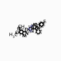 COc1cc2ncnc(OC(/C=N\C(=O)c3c4n(n(-c5ccc(F)cc5)c3=O)CCCC4)=C/C=C/N)c2cc1OC